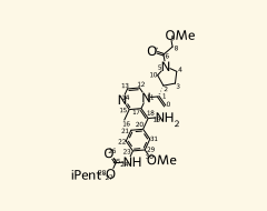 C=C([C@H]1CCN(C(=O)COC)C1)N1C=CN=C(C)/C1=C(/N)c1ccc(NC(=O)O[C@@H](C)CCC)c(OC)c1